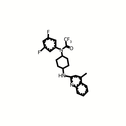 Cc1cc(NC2CCC(N(C(=O)C(F)(F)F)c3cc(F)cc(F)c3)CC2)nc2ccccc12